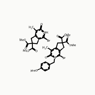 COC(=O)C1(C(=O)OC)Cc2c(Br)[nH]c(=O)c(C)c2C1.COC(=O)C1(C(=O)OC)Cc2c(c(Br)n(Cc3ccc(OC)cc3)c(=O)c2C)C1